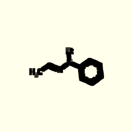 CC=NN(CC)c1ccccc1